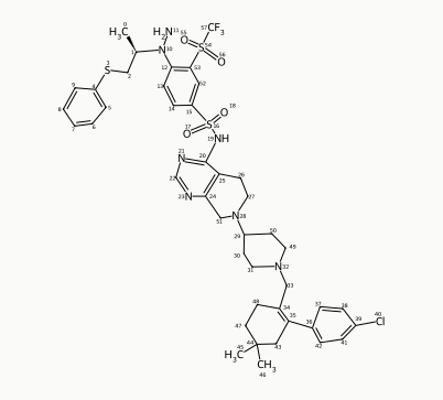 C[C@H](CSc1ccccc1)N(N)c1ccc(S(=O)(=O)Nc2ncnc3c2CCN(C2CCN(CC4=C(c5ccc(Cl)cc5)CC(C)(C)CC4)CC2)C3)cc1S(=O)(=O)C(F)(F)F